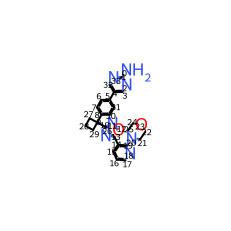 Nc1ncc(-c2ccc(C3(c4noc(-c5cccnc5N5CCOCC5)n4)CCC3)cc2)cn1